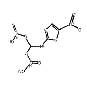 O=[N+]([O-])c1cnc(NC(O[PH](=O)O)O[PH](=O)O)s1